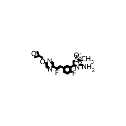 CN1C(N)=NC(c2cc(/C=C(\F)c3cnc(OCC4COC4)cn3)ccc2F)C[S+]1[O-]